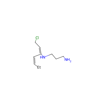 CC/C=C\C(=C/CCl)NCCCN